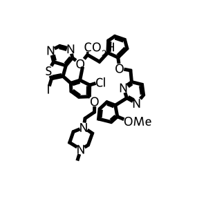 COc1ccccc1-c1nccc(COc2ccccc2C[C@@H](Oc2ncnc3sc(I)c(-c4ccc(OCCN5CCN(C)CC5)c(Cl)c4C)c23)C(=O)O)n1